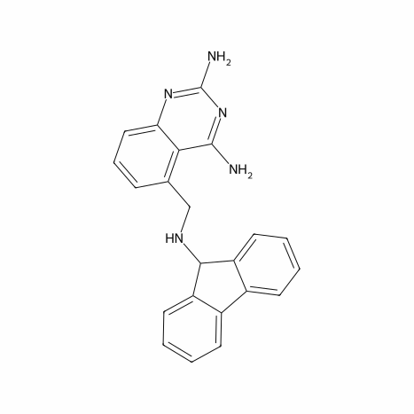 Nc1nc(N)c2c(CNC3c4ccccc4-c4ccccc43)cccc2n1